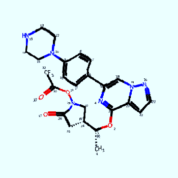 C[C@@H](Oc1nc(-c2ccc(N3CCNCC3)cc2)cn2nccc12)[C@@H]1CC(=O)N(OC(=O)C(F)(F)F)C1